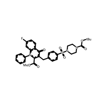 COC(=O)c1c(Cc2ccc(S(=O)(=O)N3CCN(C(=O)OC(C)(C)C)CC3)cc2)c(=O)c2ccc(F)cc2n1-c1ccccc1